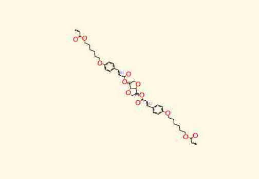 C=CC(=O)OCCCCCCOc1ccc(/C=C/C(=O)O[C@H]2COC3C2OC[C@H]3OC(=O)/C=C/c2ccc(OCCCCCCOC(=O)C=C)cc2)cc1